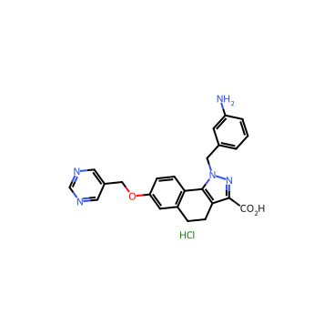 Cl.Nc1cccc(Cn2nc(C(=O)O)c3c2-c2ccc(OCc4cncnc4)cc2CC3)c1